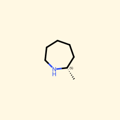 C[C@H]1CCCCCN1